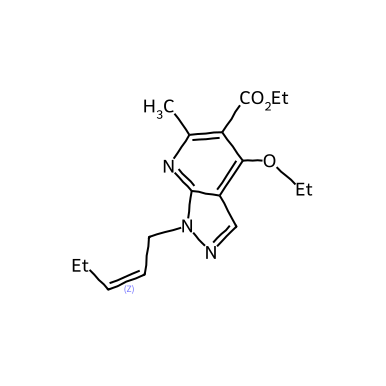 CC/C=C\Cn1ncc2c(OCC)c(C(=O)OCC)c(C)nc21